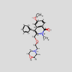 COc1ccc2c(=O)n(C)c(COCCN3CCOCC3)c(-c3ccccc3)c2c1